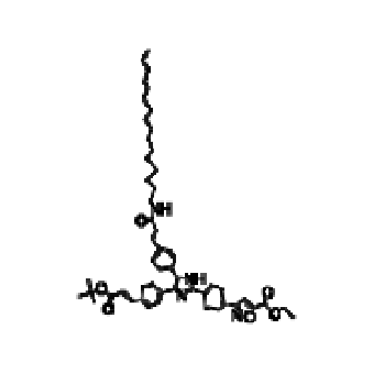 CCCCCCCCCCCCCCCCNC(=O)C=Cc1ccc(-c2[nH]c(-c3ccc(-c4cc(C(=O)OCC)on4)cc3)nc2-c2ccc(C=CC(=O)OC(C)(C)C)cc2)cc1